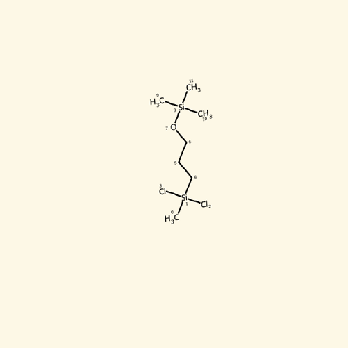 C[Si](Cl)(Cl)CCCO[Si](C)(C)C